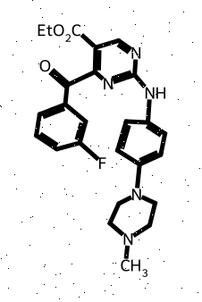 CCOC(=O)c1cnc(Nc2ccc(N3CCN(C)CC3)cc2)nc1C(=O)c1cccc(F)c1